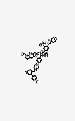 CC1(C)CCC(CN2CCN(c3ccc(C(=O)NS(=O)(=O)c4ccc(NCC5(F)CCOCC5)c([N+](=O)[O-])c4)c(-n4ncc5nc6c(ccn6CO)cc54)c3)CC2)=C(c2ccc(Cl)cc2)C1